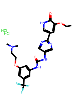 CCOc1cc(-c2ncc(NC(=O)Nc3cc(OCCN(C)C)cc(C(F)(F)F)c3)cn2)c[nH]c1=O.Cl.Cl